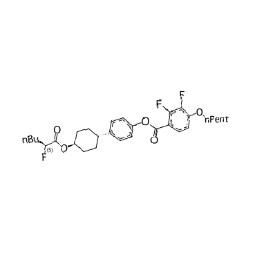 CCCCCOc1ccc(C(=O)Oc2ccc([C@H]3CC[C@H](OC(=O)[C@@H](F)CCCC)CC3)cc2)c(F)c1F